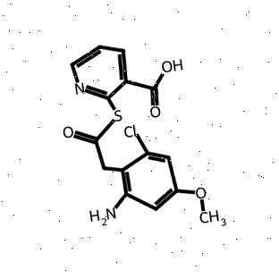 COc1cc(N)c(CC(=O)Sc2ncccc2C(=O)O)c(Cl)c1